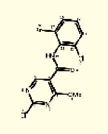 COc1nc(Cl)ncc1C(=O)Nc1c(Cl)cccc1Br